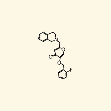 O=c1cc(CN2CCc3ccccc3C2)occ1OCc1ccccc1F